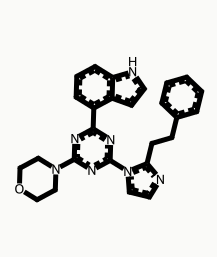 c1ccc(CCc2nccn2-c2nc(-c3cccc4[nH]ccc34)nc(N3CCOCC3)n2)cc1